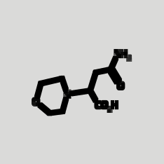 NC(=O)CC(C(=O)O)N1CCOCC1